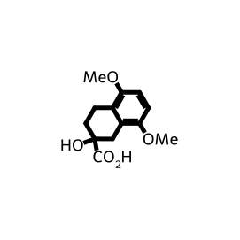 COc1ccc(OC)c2c1CCC(O)(C(=O)O)C2